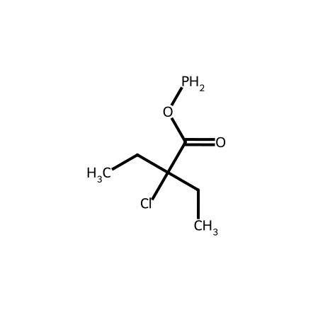 CCC(Cl)(CC)C(=O)OP